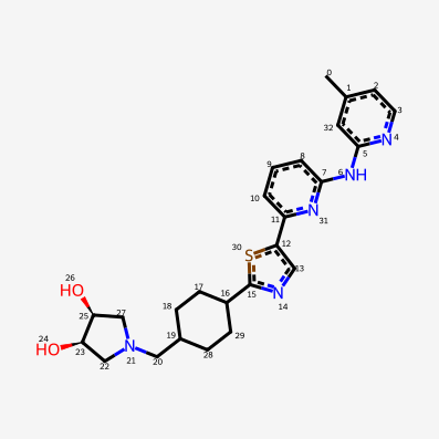 Cc1ccnc(Nc2cccc(-c3cnc(C4CCC(CN5C[C@@H](O)[C@@H](O)C5)CC4)s3)n2)c1